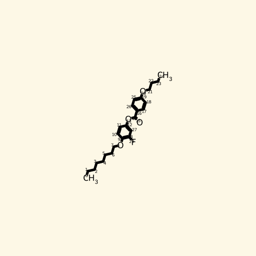 CCCCCCCCOc1ccc(OC(=O)c2ccc(OCCCC)cc2)cc1F